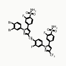 NS(=O)(=O)c1ccc(-c2cc(C(F)(F)F)nn2-c2ccc(Br)c(Br)c2)cc1F.NS(=O)(=O)c1ccc(-c2cc(C(F)(F)F)nn2-c2ccc(F)c(F)c2)cc1F